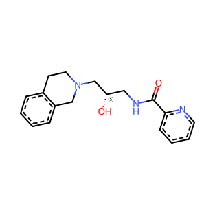 O=C(NC[C@H](O)CN1CCc2ccccc2C1)c1ccccn1